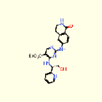 CCOC(=O)c1cnc(Nc2ccc3c(c2)CCNC3=O)nc1N[C@H](CO)c1ccccn1